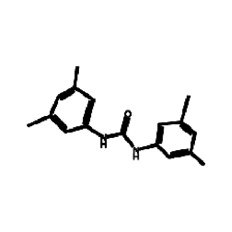 Cc1cc(C)cc(NC(=O)Nc2cc(C)cc(C)c2)c1